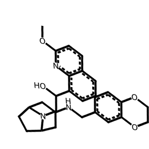 COc1ccc2cccc(C(O)CN3C4CCC3CC(NCc3ccc5c(c3)OCCO5)C4)c2n1